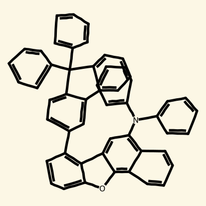 c1ccc(N(c2ccccc2)c2cc3c(oc4cccc(-c5ccc6c(c5)-c5ccccc5C6(c5ccccc5)c5ccccc5)c43)c3ccccc23)cc1